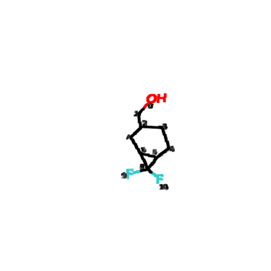 OCC1CCC2C(C1)C2(F)F